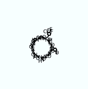 CC[C@H](C)[C@@H]1NC(=O)[C@H](CC(C)C)N(C)C(=O)C[C@@H](C)N(C)C(=O)[C@H](C(C)C)N(C)C(=O)C2(CCCC2)NC(=O)[C@@H]2CCCN2C(=O)[C@H](CCc2ccc(C(F)(F)F)c(Cl)c2)NC(=O)CN(C)C(=O)[C@H](Cc2ccc(OC)cc2)N(C)C(=O)CN(C)C(=O)CN(C)C1=O